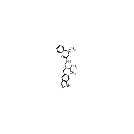 C[C@H](CC(=O)NC[C@H](Cc1ccc2[nH]ncc2c1)N(C)C)c1ccccc1